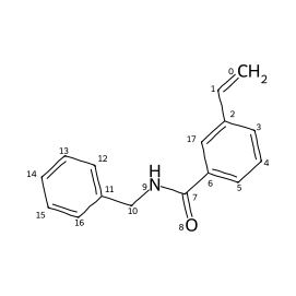 C=Cc1cccc(C(=O)NCc2ccccc2)c1